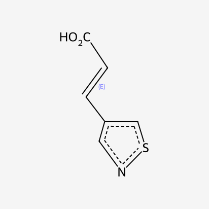 O=C(O)/C=C/c1cnsc1